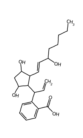 C=CC(c1ccccc1C(=O)O)C1C(O)CC(O)C1C=CC(O)CCCCC